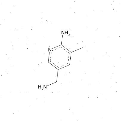 Cc1cc(CN)cnc1N